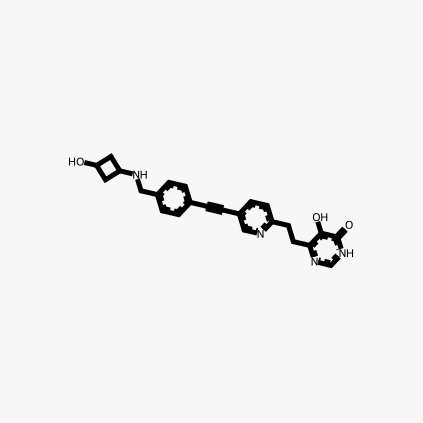 O=c1[nH]cnc(CCc2ccc(C#Cc3ccc(CNC4CC(O)C4)cc3)cn2)c1O